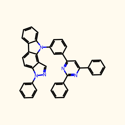 c1ccc(-c2cc(-c3cccc(-n4c5ccccc5c5ccc6c(cnn6-c6ccccc6)c54)c3)nc(-c3ccccc3)n2)cc1